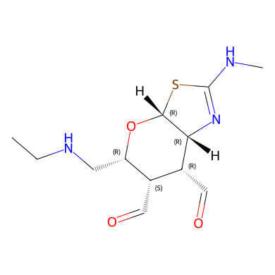 CCNC[C@@H]1O[C@@H]2SC(NC)=N[C@@H]2[C@H](C=O)[C@@H]1C=O